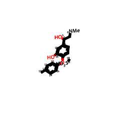 CNCC(O)c1ccc(Oc2ccc(C)cc2)c(O)c1.CS(=O)(=O)O